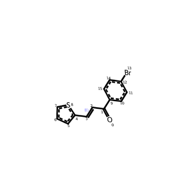 O=C(/C=C/c1cccs1)c1ccc(Br)cc1